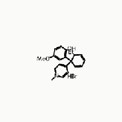 Br.CCC1C=CC=CC1(C1=CCN(C)C=C1)c1cc(OC)ccc1O